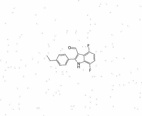 CCc1ccc(-c2[nH]c3c(F)ccc(F)c3c2C=O)cc1